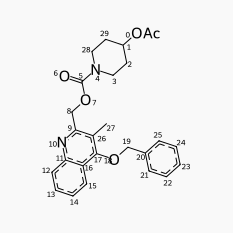 CC(=O)OC1CCN(C(=O)OCc2nc3ccccc3c(OCc3ccccc3)c2C)CC1